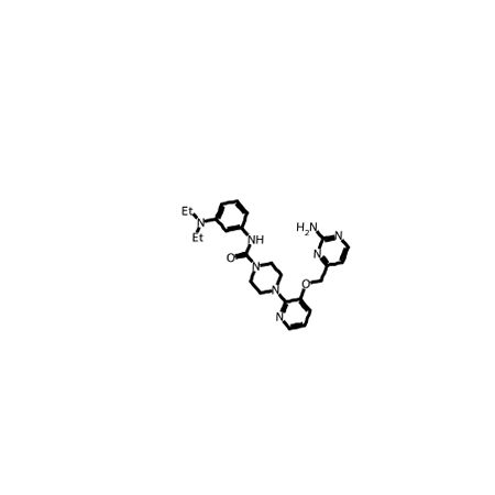 CCN(CC)c1cccc(NC(=O)N2CCN(c3ncccc3OCc3ccnc(N)n3)CC2)c1